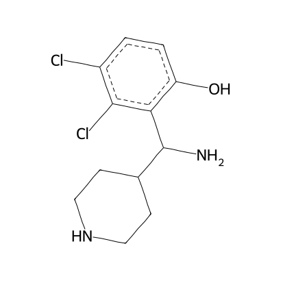 NC(c1c(O)ccc(Cl)c1Cl)C1CCNCC1